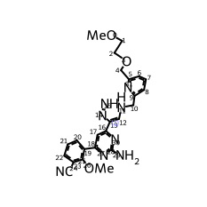 COCCOCc1cccc(CN/C=C(\N=N)c2cc(-c3cccc(C#N)c3OC)nc(N)n2)n1